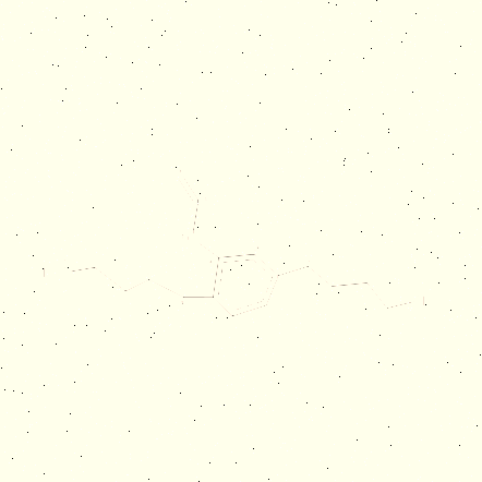 CCCCCc1ccc(CCCCC)c(OC=O)c1